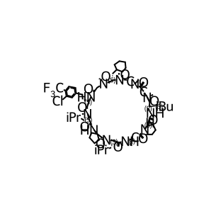 CC[C@H](C)[C@@H]1NC(=O)[C@@H]2CCCCN2C(=O)C[C@@H](C)NC(=O)[C@H](CC(C)C)N(C)C(=O)C2(CCCC2)NC(=O)[C@H](CC(C)C)N(C)C(=O)[C@H](CCc2ccc(C(F)(F)F)c(Cl)c2)NC(=O)CN(C)C(=O)[C@H](CC2CCCCC2)N(C)C(=O)CN(C)C(=O)CN(C)C1=O